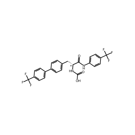 O=C(O)N[C@H](Cc1ccc(-c2ccc(C(F)(F)F)cc2)cc1)C(=O)Nc1ccc(C(F)(F)F)cc1